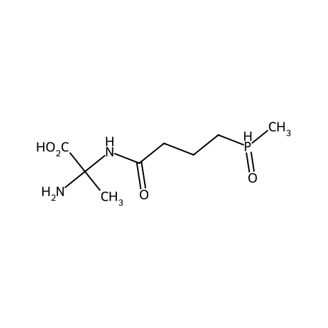 C[PH](=O)CCCC(=O)NC(C)(N)C(=O)O